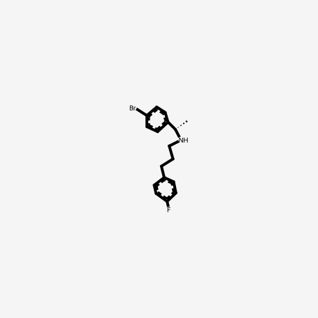 C[C@H](NCCCc1ccc(F)cc1)c1ccc(Br)cc1